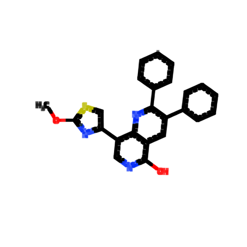 COc1nc(-c2cnc(O)c3cc(-c4ccccc4)c(-c4cc[c]cc4)nc23)cs1